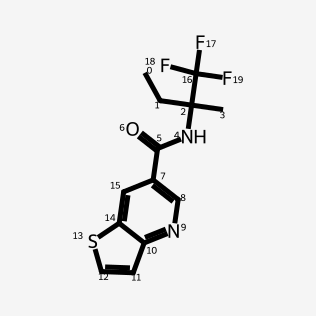 CCC(C)(NC(=O)c1cnc2ccsc2c1)C(F)(F)F